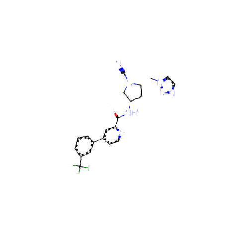 N#CN1C[C@H](NC(=O)c2cc(-c3cccc(C(F)(F)F)c3)ccn2)C[C@H]1Cn1ccnn1